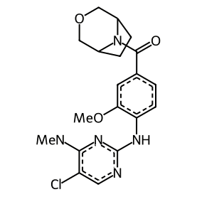 CNc1nc(Nc2ccc(C(=O)N3C4CCC3COC4)cc2OC)ncc1Cl